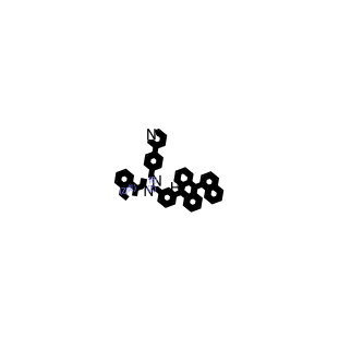 C=C(/N=C(\N=C\c1ccc(-c2cccnc2)cc1)c1cccc(C2=c3ccccc3=C(c3cccc4ccccc34)C3C=CC=C[C@@H]23)c1)/C(C)=c1\cccc\c1=C\C